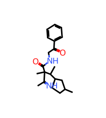 CC(=N)C(C)(C(=O)NCC(=O)c1ccccc1)C(C)C1CCC(C)C1